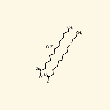 CCCCCCCCCCCCC(=O)[O-].CCCCCCCCCCCCC(=O)[O-].[Cd+2]